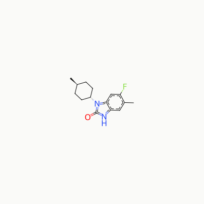 Cc1cc2[nH]c(=O)n([C@H]3CC[C@H](C)CC3)c2cc1F